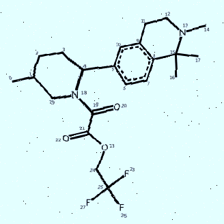 CC1CCC(c2ccc3c(c2)CCN(C)C3(C)C)N(C(=O)C(=O)OCC(F)(F)F)C1